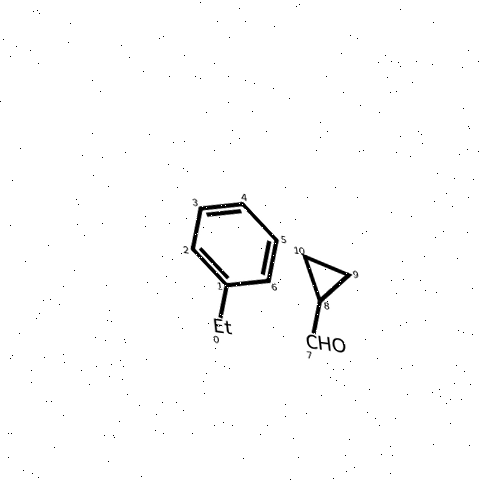 CCc1ccccc1.O=CC1CC1